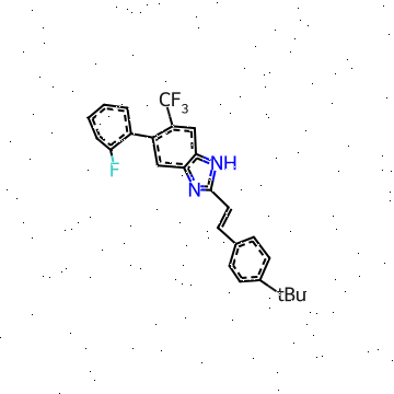 CC(C)(C)c1ccc(C=Cc2nc3cc(-c4ccccc4F)c(C(F)(F)F)cc3[nH]2)cc1